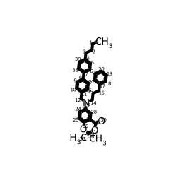 CCCCc1ccc(-c2ccc(CN(CCCc3ccccc3)c3ccc4c(c3)C(=O)OC(C)(C)O4)cc2)cc1